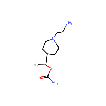 CC(C)(C)C(OC(N)=O)C1CCN(CCN)CC1